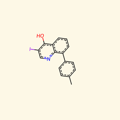 Cc1ccc(-c2cccc3c(O)c(I)cnc23)cc1